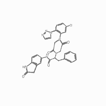 O=C1Cc2cc(NC(=O)C(Cc3ccccc3)N3CC(=O)N(c4cc(Cl)ccc4-n4ccnn4)CC3=O)ccc2N1